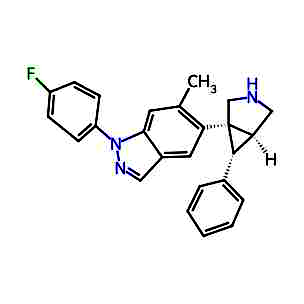 Cc1cc2c(cnn2-c2ccc(F)cc2)cc1[C@]12CNC[C@H]1[C@@H]2c1ccccc1